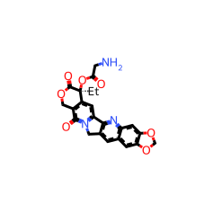 CC[C@@]1(OC(=O)CN)C(=O)OCc2c1cc1n(c2=O)Cc2cc3cc4c(cc3nc2-1)OCO4